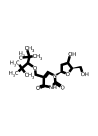 CC(C)(C)C(OCc1cn([C@H]2CC(O)[C@@H](CO)O2)c(=O)[nH]c1=O)C(C)(C)C